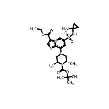 CCOC(=O)c1cnc2c(N3C[C@H](C)N(C(=O)OC(C)(C)C)[C@@H](C)C3)cc(S(=O)(=O)NC3(C)CC3)cn12